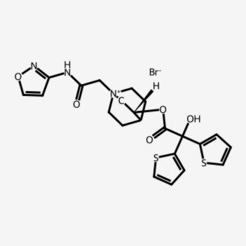 O=C(C[N+]12CCC(CC1)[C@@H](OC(=O)C(O)(c1cccs1)c1cccs1)C2)Nc1ccon1.[Br-]